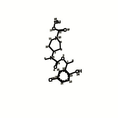 CC(OC(=O)N(C)C1CCN(C(=O)OC(C)(C)C)CC1)c1cc(Cl)ccc1O